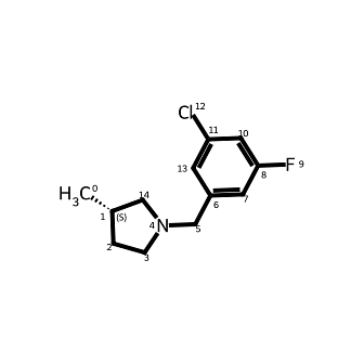 C[C@H]1CCN(Cc2cc(F)cc(Cl)c2)C1